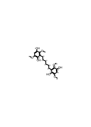 COc1cc(O)c(OC)c(CCCCCCc2c(O)c(OC)cc(O)c2OC)c1O